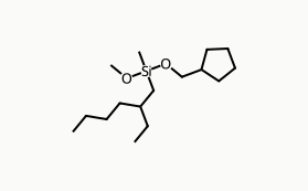 CCCCC(CC)C[Si](C)(OC)OCC1CCCC1